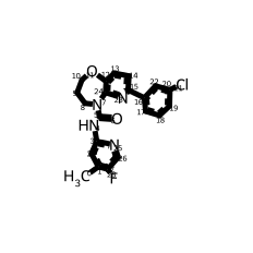 Cc1cc(NC(=O)N2CCCOc3ccc(-c4cccc(Cl)c4)nc32)ncc1F